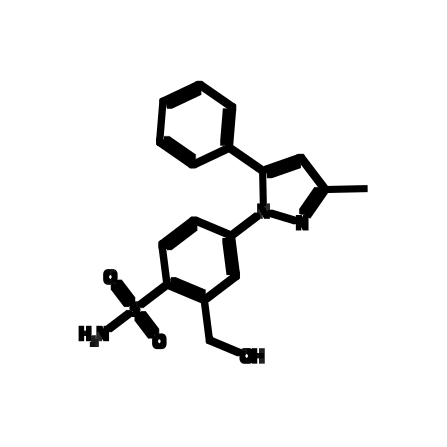 Cc1cc(-c2ccccc2)n(-c2ccc(S(N)(=O)=O)c(CO)c2)n1